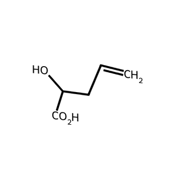 C=CCC(O)C(=O)O